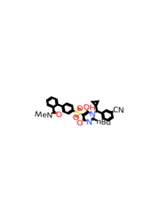 CCCCc1nc(=O)c(S(=O)(=O)c2ccc(-c3ccccc3C(=O)NC)cc2)c(O)n1C(c1cccc(C#N)c1)C1CC1